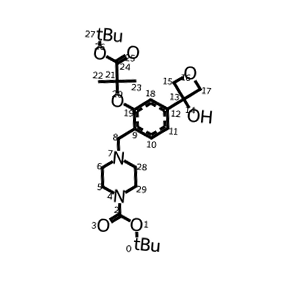 CC(C)(C)OC(=O)N1CCN(Cc2ccc(C3(O)COC3)cc2OC(C)(C)C(=O)OC(C)(C)C)CC1